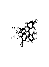 Cc1c2n(ccc1=O)N(C1c3ccccc3CSc3c(Cl)cccc31)CN(C)C2=O